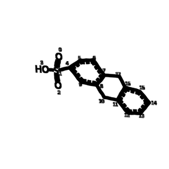 O=S(=O)(O)c1ccc2c(c1)Cc1ccccc1C2